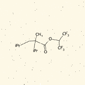 CC(C)CC(C)(C(=O)OC(C(F)(F)F)C(F)(F)F)C(C)C